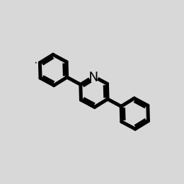 [c]1ccc(-c2ccc(-c3ccccc3)cn2)cc1